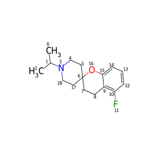 CC(C)N1CCC2(CCc3c(F)cccc3O2)CC1